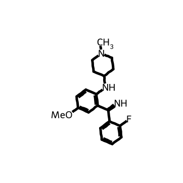 COc1ccc(NC2CCN(C)CC2)c(C(=N)c2ccccc2F)c1